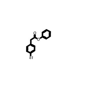 CCc1ccc(CC(=O)Oc2ccccc2)cc1